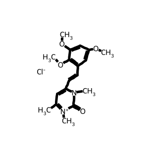 COc1cc(/C=C/c2cc(C)[n+](C)c(=O)n2C)c(OC)c(OC)c1.[Cl-]